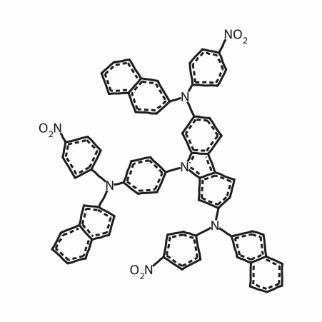 O=[N+]([O-])c1ccc(N(c2ccc(-n3c4cc(N(c5ccc([N+](=O)[O-])cc5)c5ccc6ccccc6c5)ccc4c4ccc(N(c5ccc([N+](=O)[O-])cc5)c5ccc6ccccc6c5)cc43)cc2)c2ccc3ccccc3c2)cc1